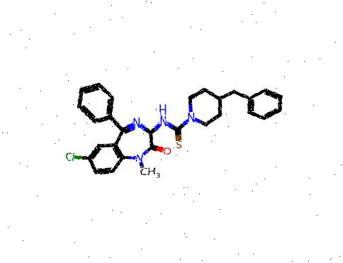 CN1C(=O)C(NC(=S)N2CCC(Cc3ccccc3)CC2)N=C(c2ccccc2)c2cc(Cl)ccc21